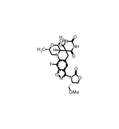 COC[C@H]1COC(=O)N1c1noc2c(F)c3c(cc12)CC1(C(=O)NC(=O)NC1=O)[C@H]1[C@H](C)O[C@H](C)CN31